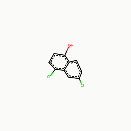 Oc1ccc(Cl)c2cc(Cl)ccc12